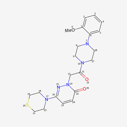 COc1ccccc1N1CCN(C(=O)Cn2nc(N3CCSCC3)ccc2=O)CC1